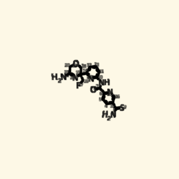 NC(=S)c1ccc(C(=O)Nc2cccc(C3(CF)COCC(N)=N3)n2)nc1